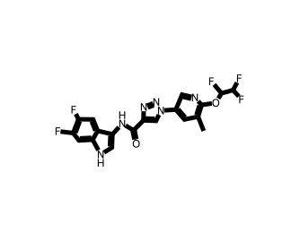 Cc1cc(-n2cc(C(=O)Nc3c[nH]c4cc(F)c(F)cc34)nn2)cnc1OC(F)C(F)F